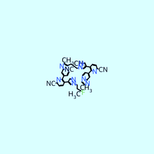 Cc1nc2cc(-c3nc(C#N)ccc3-c3cnn(CCC(C)(C)F)c3)ccn2c1CC(C)(C#N)Cn1cc(-c2ccc(C#N)nc2-c2ccn3ccnc3c2)cn1